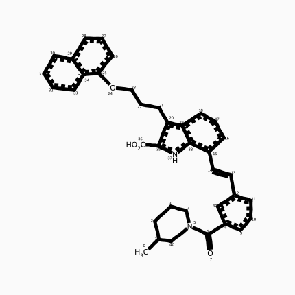 CC1CCCN(C(=O)c2cccc(C=Cc3cccc4c(CCCOc5cccc6ccccc56)c(C(=O)O)[nH]c34)c2)C1